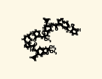 CC1(C)Cc2cc(NC(=O)c3cnn4ccc(C[C@@H]5CCN(CC6(C)Cc7cc(NC(=O)c8cnn9ccc(C[C@H]%10CCNC%10=O)nc89)c(C8CC8)cc7O6)C5=O)nc34)c(C3CC3)cc2O1